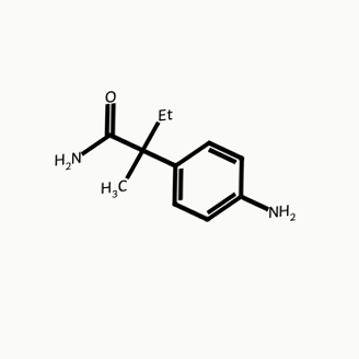 CCC(C)(C(N)=O)c1ccc(N)cc1